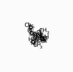 C=C[C@@H]1C[C@]1(NC(=O)[C@@H]1Cc2cc(Oc3cccc(Cl)c3)ccc2CN1C(=O)[C@@H](Nc1cccc(C(F)(F)F)c1)C(C)(C)C)C(=O)NS(=O)(=O)C1(C)CC1